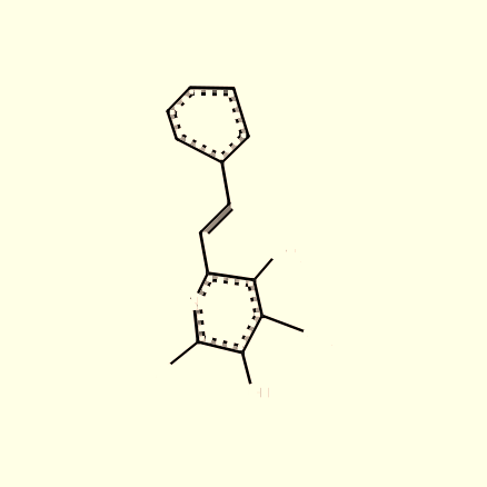 Cc1nc(/C=C/c2ccccc2)c(C(=O)O)c(C(=O)O)c1O